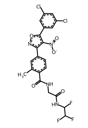 Cc1cc(-c2noc(-c3cc(Cl)cc(Cl)c3)c2[N+](=O)[O-])ccc1C(=O)NCC(=O)NC(F)C(F)F